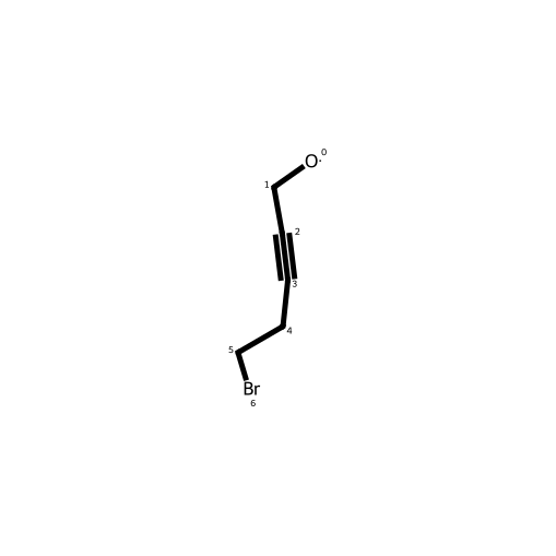 [O]CC#CCCBr